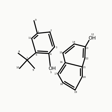 Cc1ccc(O)c(C(C)(C)C)c1.Oc1ccc2ccccc2c1